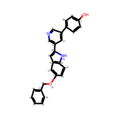 Oc1ccc(-c2cncc(-c3cc4cc(OCc5ccccc5)ccc4[nH]3)c2)cc1